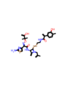 C=C(C)CN1C(=C)[C@@H](NC(=O)/C(=N\OC(C)(C)C(=C)O)c2csc(N)n2)C1SSCCNC(=O)C(=C)c1ccc(C)c(O)c1